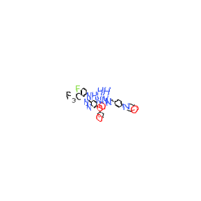 O=C(N/N=C/c1ccc(N2CCOCC2)cc1)Nc1cc2c(Nc3ccc(F)c(C(F)(F)F)c3)ncnc2cc1OC1CCOC1